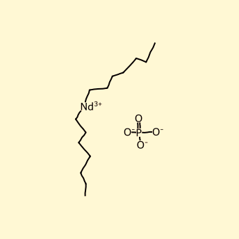 CCCCCC[CH2][Nd+3][CH2]CCCCCC.O=P([O-])([O-])[O-]